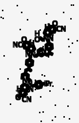 CC(C)c1ccc(-c2nc3c(n2Cc2cc(CC(C)c4ccc(-c5nc6c(n5Cc5ccnc(CC(C)c7ccc(-c8nc9c(n8CCO)CC[C@@H]8[C@@H](C)C(=O)C(C#N)=C[C@@]98C)cc7)c5)CC[C@@H]5[C@@H](C)C(=O)C(C#N)=C[C@@]65C)cc4)ccn2)CC[C@@H]2[C@@H](C)C(=O)C(C#N)=C[C@@]32C)cc1